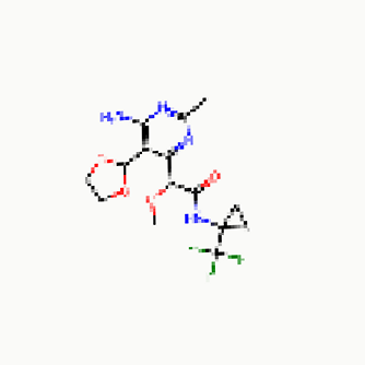 COC(C(=O)NC1(C(F)(F)F)CC1)c1nc(C)nc(N)c1C1OCCO1